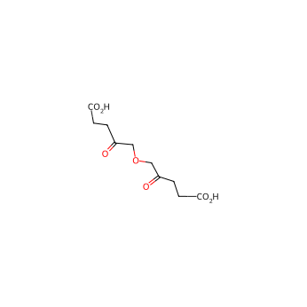 O=C(O)CCC(=O)COCC(=O)CCC(=O)O